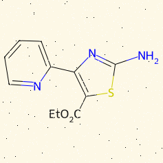 CCOC(=O)c1sc(N)nc1-c1ccccn1